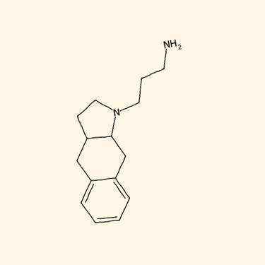 NCCCN1CCC2Cc3ccccc3CC21